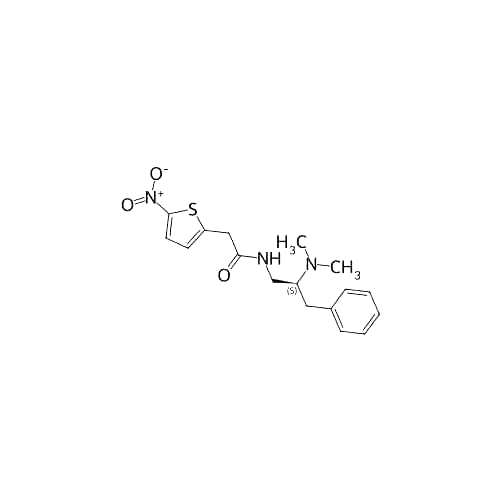 CN(C)[C@H](CNC(=O)Cc1ccc([N+](=O)[O-])s1)Cc1ccccc1